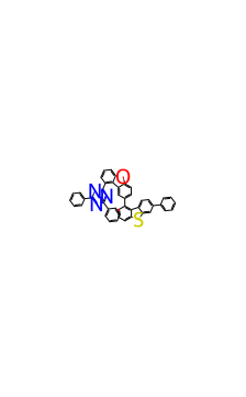 c1ccc(-c2ccc3c(c2)sc2cccc(-c4ccc5oc6cccc(-c7nc(-c8ccccc8)nc(-c8ccccc8)n7)c6c5c4)c23)cc1